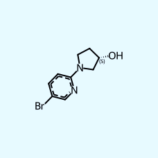 O[C@H]1CCN(c2ccc(Br)cn2)C1